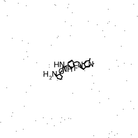 CC1C=c2c(ccn2Cc2ccc(C(=N)NOC3CCCC3N)cc2F)=CN1C